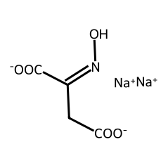 O=C([O-])CC(=NO)C(=O)[O-].[Na+].[Na+]